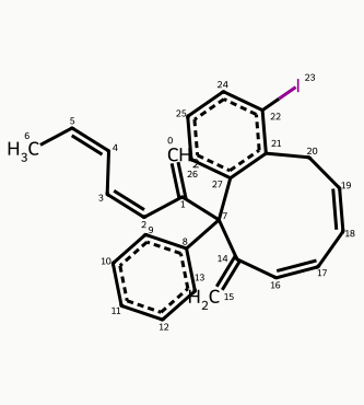 C=C(/C=C\C=C/C)C1(c2ccccc2)C(=C)/C=C\C=C/Cc2c(I)cccc21